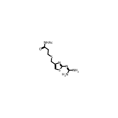 CC(=O)NC(=O)CCSCc1csc(N=C(N)N)n1